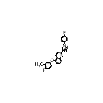 Cc1cc(Oc2cccc3nc(-c4cn(-c5ccc(F)cc5)nn4)ccc23)ccc1F